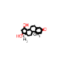 CC12C=CC(=O)C=C1CCC1C2CCC2(C)C(O)CC(O)C12